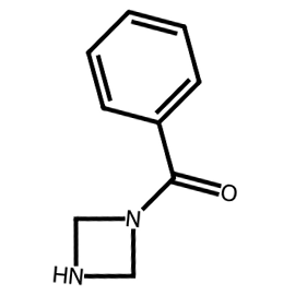 O=C(c1ccccc1)N1CNC1